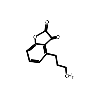 CCCCc1cccc2c1C(=O)C(=O)O2